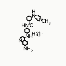 Cl.Cn1cc[c+](Nc2cccc(C(=O)Nc3ccc(Nc4ccnc5cc(N)ccc45)cc3)c2)cc1.[Cl-]